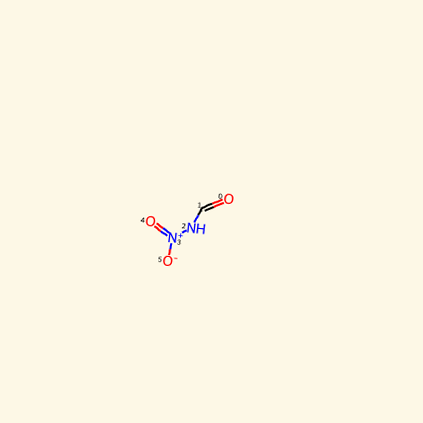 O=[C]N[N+](=O)[O-]